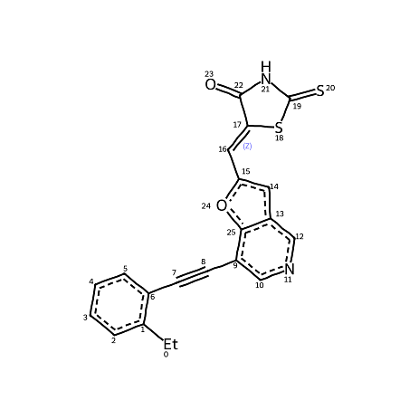 CCc1ccccc1C#Cc1cncc2cc(/C=C3\SC(=S)NC3=O)oc12